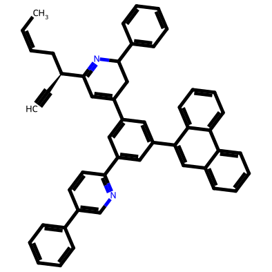 C#C[C@@H](C/C=C\C)C1=NC(c2ccccc2)CC(c2cc(-c3ccc(-c4ccccc4)cn3)cc(-c3cc4ccccc4c4ccccc34)c2)=C1